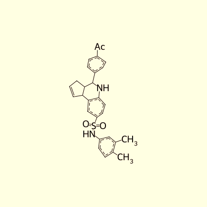 CC(=O)c1ccc(C2Nc3ccc(S(=O)(=O)Nc4ccc(C)c(C)c4)cc3C3C=CCC32)cc1